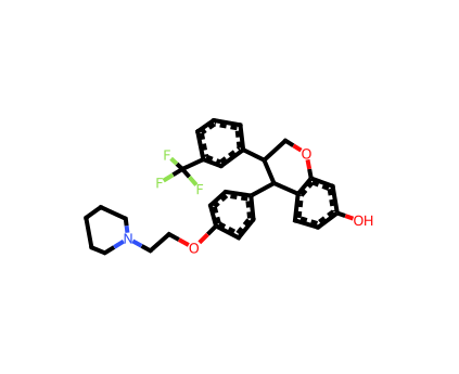 Oc1ccc2c(c1)OCC(c1cccc(C(F)(F)F)c1)C2c1ccc(OCCN2CCCCC2)cc1